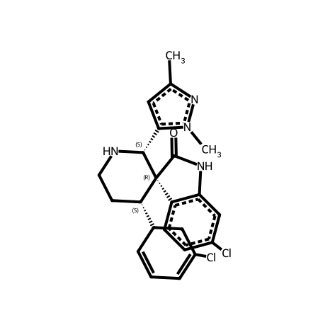 Cc1cc([C@H]2NCC[C@@H](C3C=CC=C(Cl)C3)[C@]23C(=O)Nc2cc(Cl)ccc23)n(C)n1